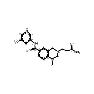 CC1CN(CCC(N)=O)Cc2cc(C(=O)Nc3cncc(C(F)(F)F)c3)ccc21